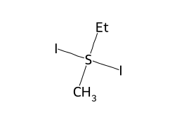 CCS(C)(I)I